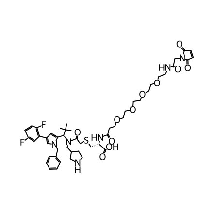 CC(C)(C)[C@H](c1cc(-c2cc(F)ccc2F)cn1Cc1ccccc1)N(CC1CCNC1)C(=O)CSC[C@H](NC(=O)CCOCCOCCOCCOCCNC(=O)CN1C(=O)C=CC1=O)C(=O)O